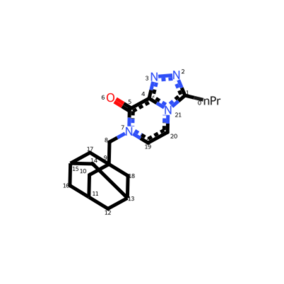 CCCc1nnc2c(=O)n(CC34CC5CC(CC(C5)C3)C4)ccn12